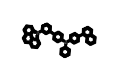 c1ccc(N(c2ccc(-c3cccc(-n4c5cccc6ccc7cccc4c7c65)c3)cc2)c2ccc(-c3cccc4ccccc34)cc2)cc1